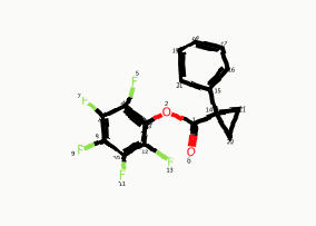 O=C(Oc1c(F)c(F)c(F)c(F)c1F)C1(c2ccccc2)CC1